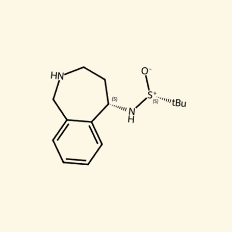 CC(C)(C)[S@@+]([O-])N[C@H]1CCNCc2ccccc21